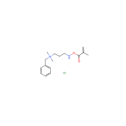 C=C(C)C(=O)ONCCC[N+](C)(C)Cc1ccccc1.[Cl-]